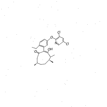 CCc1ccc(Oc2ncc(Cl)cc2Cl)cc1/C1=C(\O)C(C)[C@@H](C)CC[C@@H](C)CC1=O